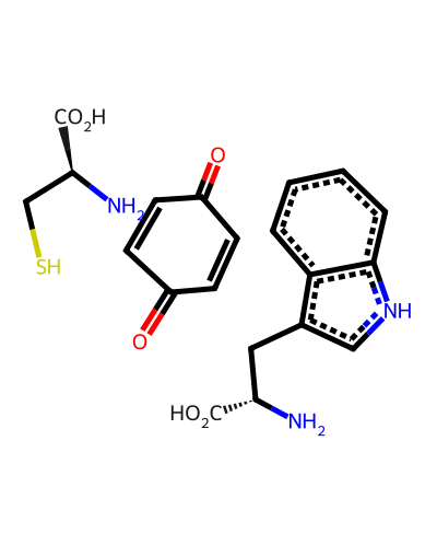 N[C@@H](CS)C(=O)O.N[C@@H](Cc1c[nH]c2ccccc12)C(=O)O.O=C1C=CC(=O)C=C1